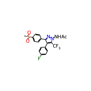 CC(=O)Nn1nc(-c2ccc(S(C)(=O)=O)cc2)c(-c2ccc(F)cc2)c1C(F)(F)F